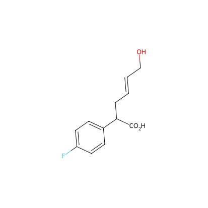 O=C(O)C(CC=CCO)c1ccc(F)cc1